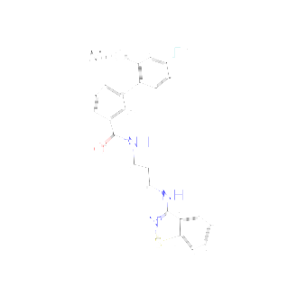 COc1cc(F)ccc1-c1cccc(C(=O)NCCCNc2nsc3ccccc23)c1